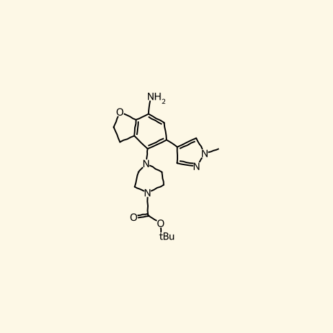 Cn1cc(-c2cc(N)c3c(c2N2CCN(C(=O)OC(C)(C)C)CC2)CCO3)cn1